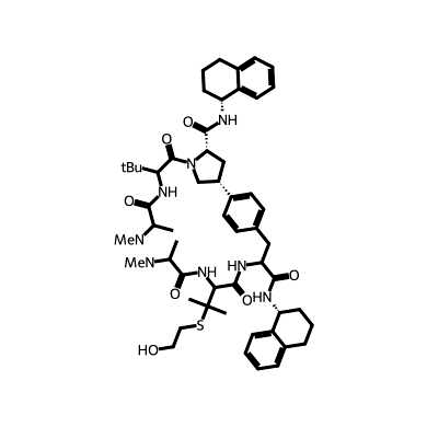 CNC(C)C(=O)NC(C(=O)N1C[C@@H](c2ccc(CC(NC(=O)C(NC(=O)C(C)NC)C(C)(C)SCCO)C(=O)N[C@@H]3CCCc4ccccc43)cc2)C[C@H]1C(=O)N[C@@H]1CCCc2ccccc21)C(C)(C)C